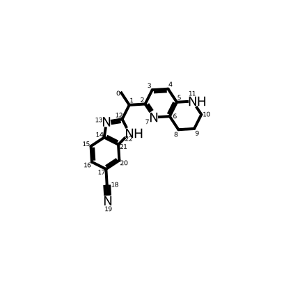 CC(c1ccc2c(n1)CCCN2)c1nc2ccc(C#N)cc2[nH]1